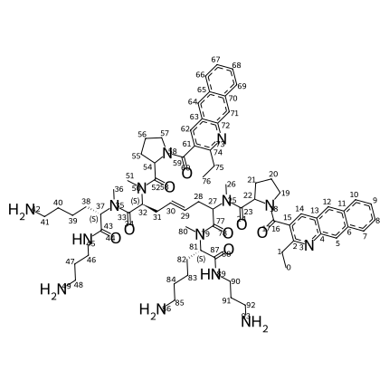 CCc1nc2cc3ccccc3cc2cc1C(=O)N1CCCC1C(=O)N(C)C(CC=CC[C@@H](C(=O)N(C)[C@@H](CCCCN)C(=O)NCCCN)N(C)C(=O)C1CCCN1C(=O)c1cc2cc3ccccc3cc2nc1CC)C(=O)N(C)[C@@H](CCCCN)C(=O)NCCCN